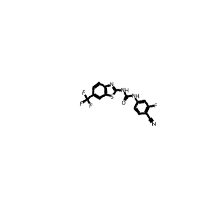 N#Cc1ccc(NC(=O)Nc2nc3ccc(C(F)(F)F)cc3s2)cc1F